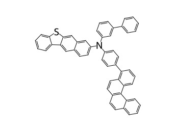 c1ccc(-c2cccc(N(c3ccc(-c4cccc5c4ccc4ccc6ccccc6c45)cc3)c3ccc4cc5c(cc4c3)sc3ccccc35)c2)cc1